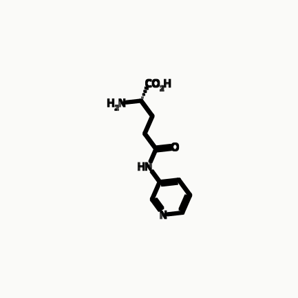 N[C@@H](CCC(=O)Nc1cccnc1)C(=O)O